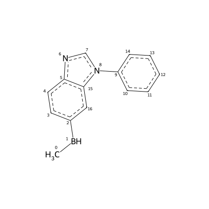 CBc1ccc2ncn(-c3ccccc3)c2c1